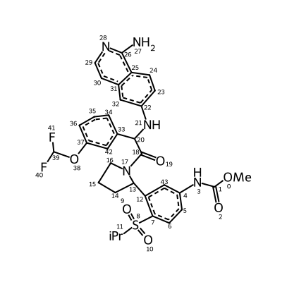 COC(=O)Nc1ccc(S(=O)(=O)C(C)C)c(C2CCCN2C(=O)C(Nc2ccc3c(N)nccc3c2)c2cccc(OC(F)F)c2)c1